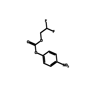 O=C(OCC(F)F)Oc1ccc([N+](=O)[O-])cc1